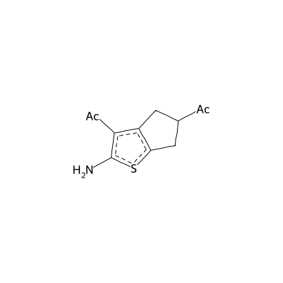 CC(=O)c1c(N)sc2c1CC(C(C)=O)C2